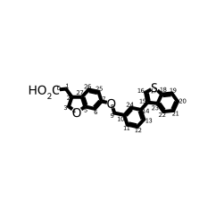 O=C(O)CC1COc2cc(OCc3cccc(-c4csc5ccccc45)c3)ccc21